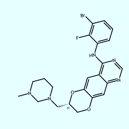 CN1CCCN(C[C@H]2COc3cc4ncnc(Nc5cccc(Br)c5F)c4cc3O2)C1